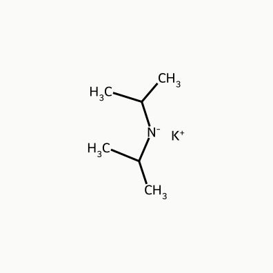 CC(C)[N-]C(C)C.[K+]